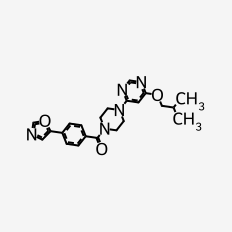 CC(C)COc1cc(N2CCN(C(=O)c3ccc(-c4cnco4)cc3)CC2)ncn1